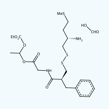 CCOC(=O)OC(C)OC(=O)CNC(=O)[C@@H](CSSC[C@@H](N)CCSC)Cc1ccccc1.O=CO